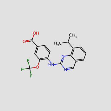 CC(C)c1cccc2cnc(Nc3ccc(C(=O)O)cc3OC(F)(F)F)nc12